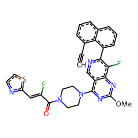 C#Cc1cccc2cccc(-c3ncc4c(N5CCN(C(=O)/C(F)=C/c6nccs6)CC5)nc(OC)nc4c3F)c12